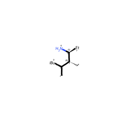 CCC(C)C(C)[C@@H](C)[C@@H](N)CC